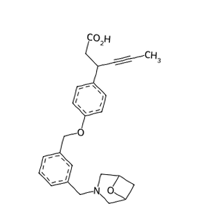 CC#CC(CC(=O)O)c1ccc(OCc2cccc(CN3CC4CC(C3)O4)c2)cc1